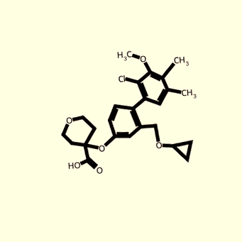 COc1c(C)c(C)cc(-c2ccc(OC3(C(=O)O)CCOCC3)cc2COC2CC2)c1Cl